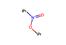 CC(C)O[N+](=O)C(C)C